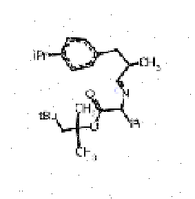 CC(/C=N/C(C(=O)OC(C)(C)CC(C)(C)C)C(C)C)Cc1ccc(C(C)C)cc1